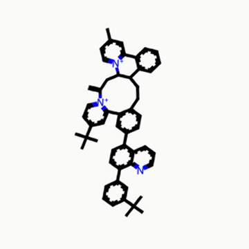 C=C1CC2C(CCc3ccc(-c4ccc(-c5cccc(C(C)(C)C)c5)c5ncccc45)cc3-c3cc(C(C)(C)C)cc[n+]31)c1ccccc1-c1cc(C)cc[n+]12